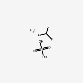 FC(F)F.O=S(=O)(O)O.S